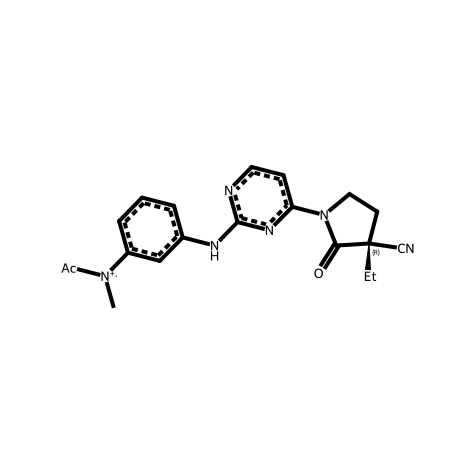 CC[C@]1(C#N)CCN(c2ccnc(Nc3cccc([N+](C)C(C)=O)c3)n2)C1=O